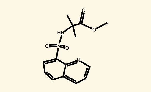 COC(=O)C(C)(C)NS(=O)(=O)c1cccc2cccnc12